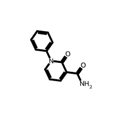 NC(=O)c1cccn(-c2ccccc2)c1=O